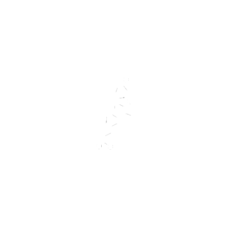 C=Cc1sc2cc(OC)ccc2c1Oc1ccc(/C=C/C(=O)OC)cc1